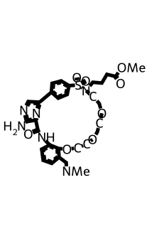 CNCc1cccc2c1OCCOCCOCCN(CCCC(=O)OC)S(=O)(=O)c1ccc(cc1)-c1cnc(N)c(n1)C(=O)N2